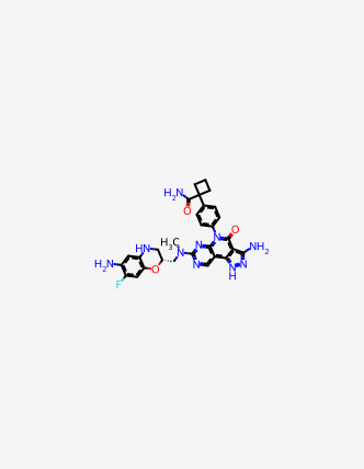 CN(C[C@H]1CNc2cc(N)c(F)cc2O1)c1ncc2c3[nH]nc(N)c3c(=O)n(-c3ccc(C4(C(N)=O)CCC4)cc3)c2n1